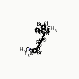 C/C=C/[C@H]1CC(OCOC(=O)COC(=O)CCC2N=C(c3ccccn3)c3cc(Br)c(Cl)cc3-n3c(C)cnc32)C(Br)C[C@H]1C(F)(F)F